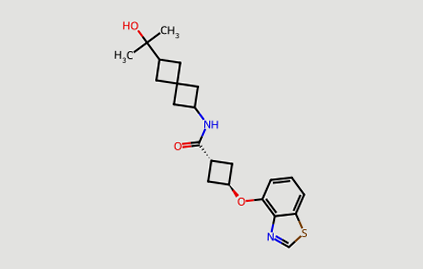 CC(C)(O)C1CC2(CC(NC(=O)[C@H]3C[C@H](Oc4cccc5scnc45)C3)C2)C1